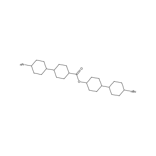 CCCCC1CCC(C2CCC(OC(=O)C3CCC(C4CCC(CCC)CC4)CC3)CC2)CC1